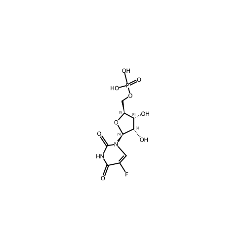 O=c1[nH]c(=O)n([C@H]2O[C@@H](COP(=O)(O)O)[C@H](O)[C@@H]2O)cc1F